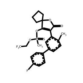 Cc1ccc(-c2ccc(F)cc2)cc1C1=C(OP(C)(=S)OCC(F)(F)F)C2(CCCC2)OC1=O